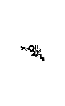 C=CCCS(=O)(=O)NC1(c2cccc(OCC(C)C)c2)CC1